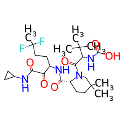 CC(F)(F)CCC(NC(=O)[C@H]1CCC(C)(C)CN1C(=O)C(NC(=O)O)C(C)(C)C)C(=O)C(=O)NC1CC1